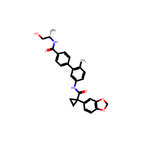 CCCC[C@@H](CO)NC(=O)c1ccc(-c2cc(NC(=O)C3(c4ccc5c(c4)OCO5)CC3)ccc2C)cc1